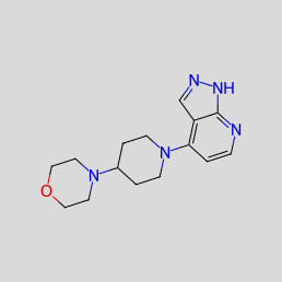 c1cc(N2CCC(N3CCOCC3)CC2)c2cn[nH]c2n1